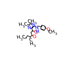 C=CCC(C)C(=O)CC(=O)c1nc(C)c(C)nc1NCc1ccc(OC)cc1